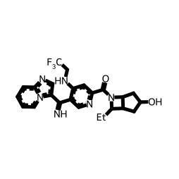 CCC1C2CC(O)CC2N1C(=O)c1cc(NCC(F)(F)F)c(C(=N)c2cnc3ccccn23)cn1